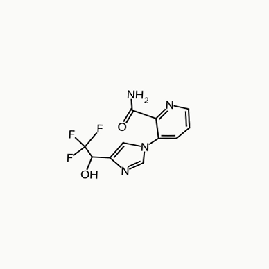 NC(=O)c1ncccc1-n1cnc(C(O)C(F)(F)F)c1